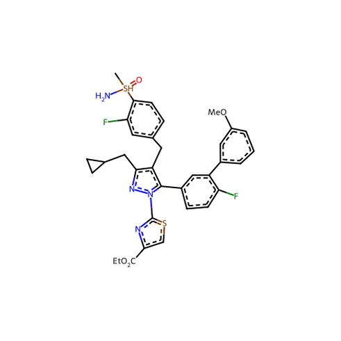 CCOC(=O)c1csc(-n2nc(CC3CC3)c(Cc3ccc([SH](C)(N)=O)c(F)c3)c2-c2ccc(F)c(-c3cccc(OC)c3)c2)n1